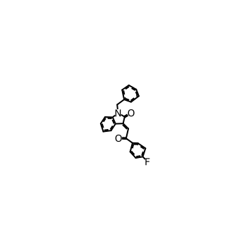 O=C(/C=C1/C(=O)N(Cc2ccccc2)c2ccccc21)c1ccc(F)cc1